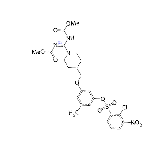 COC(=O)/N=C(/NC(=O)OC)N1CCC(COc2cc(C)cc(OS(=O)(=O)c3cccc([N+](=O)[O-])c3Cl)c2)CC1